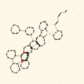 C=C/C=C\C=C(/C)c1ccccc1-n1c2ccccc2c2cc(-c3ccc4c(c3)c3ccccc3n4-c3ccccc3-c3ccccc3-c3ccc(-c4cccc(-c5cccc(-c6ccccc6)c5)c4)cc3)ccc21